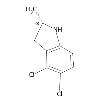 C[C@H]1Cc2c(ccc(Cl)c2Cl)N1